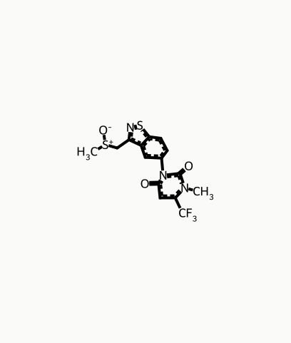 Cn1c(C(F)(F)F)cc(=O)n(-c2ccc3snc(C[S+](C)[O-])c3c2)c1=O